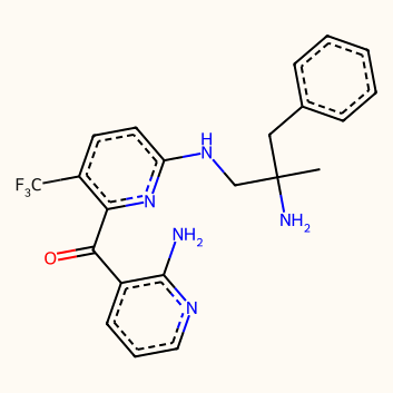 CC(N)(CNc1ccc(C(F)(F)F)c(C(=O)c2cccnc2N)n1)Cc1ccccc1